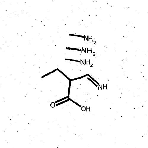 CCC(C=N)C(=O)O.CN.CN.CN